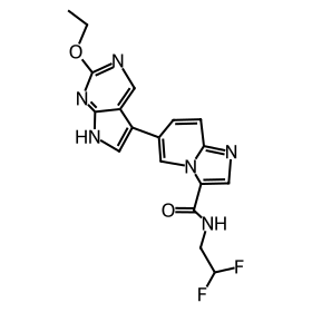 CCOc1ncc2c(-c3ccc4ncc(C(=O)NCC(F)F)n4c3)c[nH]c2n1